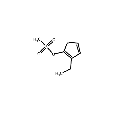 CCc1ccsc1OS(C)(=O)=O